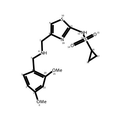 COc1ccc(CNCc2csc(NS(=O)(=O)C3CC3)n2)c(OC)c1